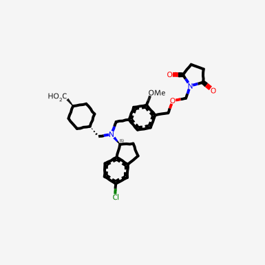 COc1cc(CN(C[C@H]2CC[C@H](C(=O)O)CC2)[C@H]2CCc3cc(Cl)ccc32)ccc1COCN1C(=O)CCC1=O